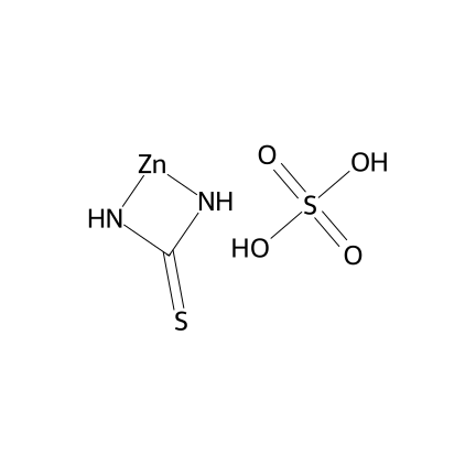 O=S(=O)(O)O.S=C1[NH][Zn][NH]1